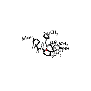 COc1ccc(C(=O)Nc2ccc(F)c([C@@]3(C)NC(=N)N(C)S(=O)(=O)[C@@]34CCN(Cc3cnn(C)c3)C4)c2)nc1